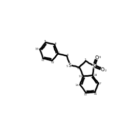 O=S1(=O)CC(SCc2ccccc2)c2ccccc21